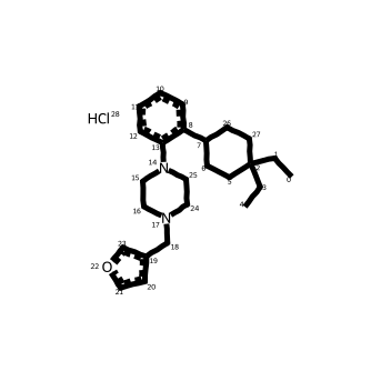 CCC1(CC)CCC(c2ccccc2N2CCN(Cc3ccoc3)CC2)CC1.Cl